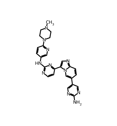 CN1CCN(c2ccc(Nc3nccc(-c4cnc5ccc(-c6cnc(N)nc6)cn45)n3)cn2)CC1